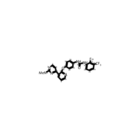 CNc1nccc(-c2cccnc2Oc2ccc(NC(=O)Nc3cccc(C(F)(F)F)c3F)cc2)n1